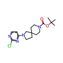 CC(C)(C)OC(=O)N1CCC2(CC1)CCN(c1ccnc(Cl)n1)C2